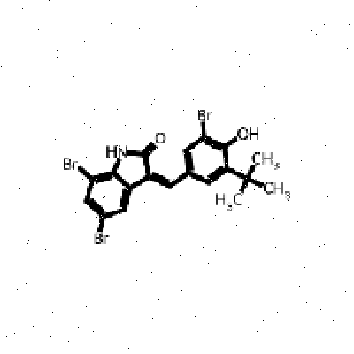 CC(C)(C)c1cc(C=C2C(=O)Nc3c(Br)cc(Br)cc32)cc(Br)c1O